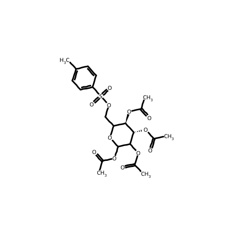 CC(=O)OC1OC(COS(=O)(=O)c2ccc(C)cc2)[C@@H](OC(C)=O)[C@H](OC(C)=O)C1OC(C)=O